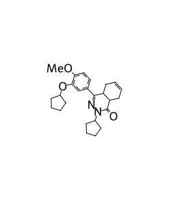 COc1ccc(C2=NN(C3CCCC3)C(=O)C3CC=CCC23)cc1OC1CCCC1